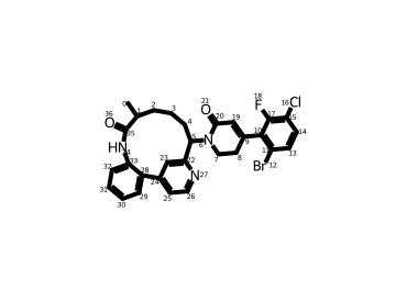 CC1CCCC(N2CCC(c3c(Br)ccc(Cl)c3F)=CC2=O)c2cc(ccn2)-c2ccccc2NC1=O